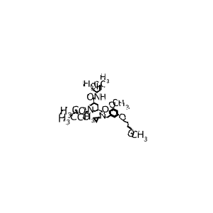 COCCCCOc1cc(CN(C(=O)[C@@H]2C[C@H](C(=O)NC(CO)CC(C)C)CN(C(=O)OC(C)(C)C)C2)C2CC2)cc(OC)c1